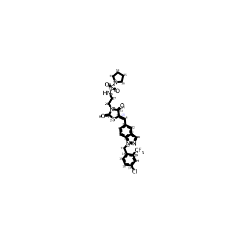 O=C1S/C(=C\c2ccc3c(cnn3Cc3ccc(Cl)cc3C(F)(F)F)c2)C(=O)N1CCNS(=O)(=O)N1CCCC1